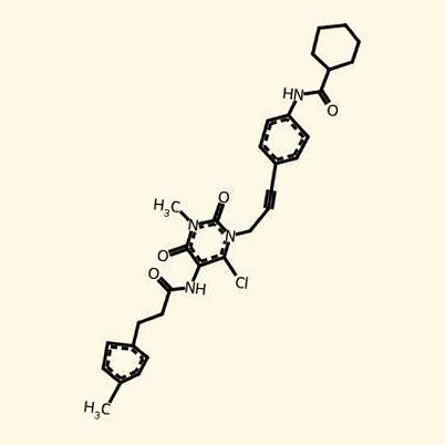 Cc1ccc(CCC(=O)Nc2c(Cl)n(CC#Cc3ccc(NC(=O)C4CCCCC4)cc3)c(=O)n(C)c2=O)cc1